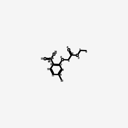 CCOC(=O)COc1cc(C)ccc1[N+](=O)[O-]